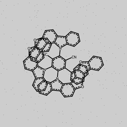 N#Cc1c(-c2cccc3c2oc2ccccc23)c(-n2c3ccccc3c3ccc4oc5ccccc5c4c32)c(-n2c3ccccc3c3ccc4oc5ccccc5c4c32)c(C#N)c1-n1c2ccccc2c2ccc3oc4ccccc4c3c21